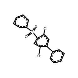 [O]c1cc(S(=O)(=O)c2ccccc2)c(Cl)cc1-c1ccccc1